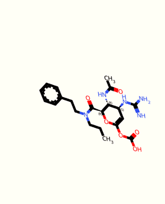 CCCN(CCc1ccccc1)C(=O)[C@@H]1OC(OC(=O)O)=C[C@H](NC(=N)N)[C@H]1NC(C)=O